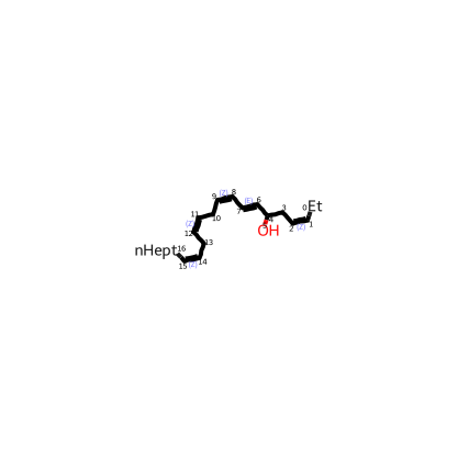 CC/C=C\CC(O)/C=C/C=C\C/C=C\C/C=C\CCCCCCC